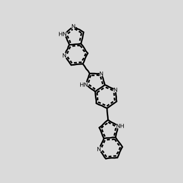 c1cnc2cc(-c3cnc4nc(-c5cnc6[nH]ncc6c5)[nH]c4c3)[nH]c2c1